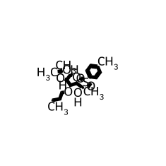 CCCCO[C@@H]1[C@H]2OC(C)(C)O[C@H]2O[C@@H]1[C@@](C)(O)S(=O)(=O)c1ccc(C)cc1